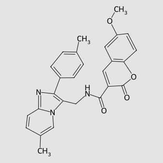 COc1ccc2oc(=O)c(C(=O)NCc3c(-c4ccc(C)cc4)nc4ccc(C)cn34)cc2c1